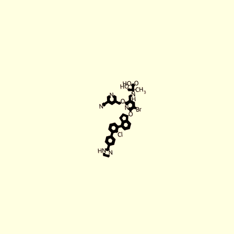 C[C@@](CO)(NCc1cc(Br)c(O[C@H]2CCc3c(-c4cccc(-c5ccc(C6=NCCN6)cc5)c4Cl)cccc32)nc1OCc1cncc(C#N)c1)C(=O)O